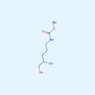 CC(C)(C)OC(=O)NCCCC(O)CO